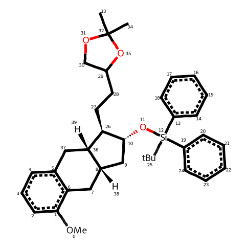 COc1cccc2c1C[C@H]1C[C@@H](O[Si](c3ccccc3)(c3ccccc3)C(C)(C)C)[C@H](CCC3COC(C)(C)O3)[C@H]1C2